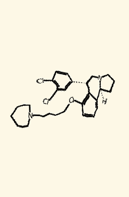 Clc1ccc([C@@H]2CN3CCC[C@H]3c3cccc(OCCCN4CCCCC4)c32)cc1Cl